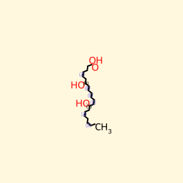 CC/C=C\C/C=C\C[C@H](O)\C=C/C=C/C=C/[C@H](O)C/C=C\CCC(=O)O